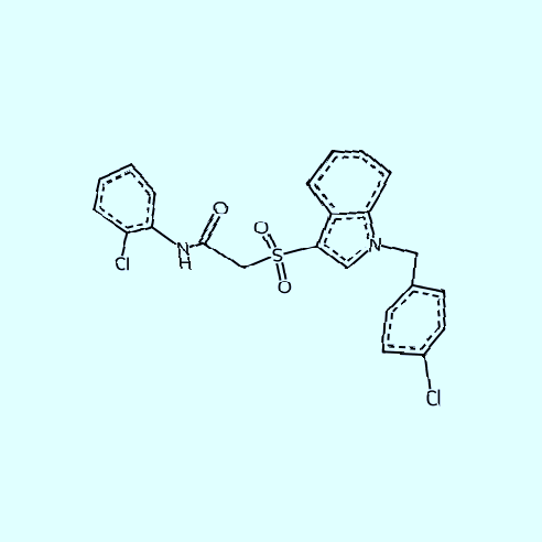 O=C(CS(=O)(=O)c1cn(Cc2ccc(Cl)cc2)c2ccccc12)Nc1ccccc1Cl